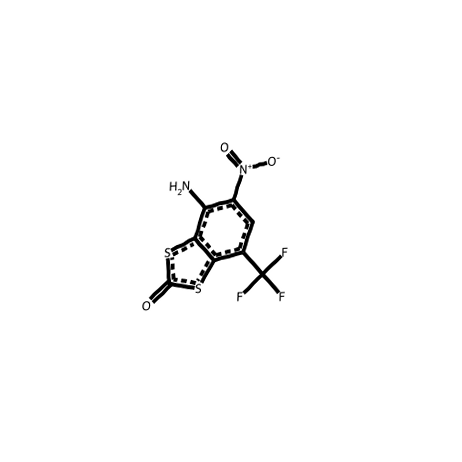 Nc1c([N+](=O)[O-])cc(C(F)(F)F)c2sc(=O)sc12